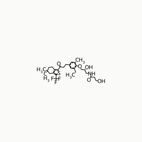 CCc1cc(CCC(=O)c2sc(C(F)(F)F)c3c2CCC(C)(C)C3)cc(C)c1OCC(O)CNC(=O)CCO